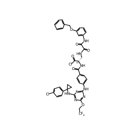 O=C(NC[C@H](NC(=O)c1ccc(Nc2nc(NC3(c4ccc(Cl)cc4)CC3)nc(OCC(F)(F)F)n2)cc1)C(=O)Cl)C(=O)Nc1cccc(OCc2ccccc2)c1